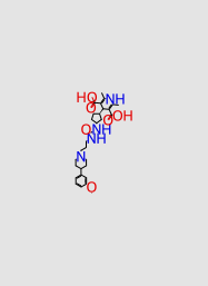 COc1cccc(C2CCN(CCCNC(=O)N[C@H]3CC[C@@H](C4C(C(=O)O)=C(C)NC(C)=C4C(=O)O)C3)CC2)c1